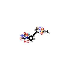 CS(=O)(=O)NCC(C#Cc1ccc(O)c(N2CC(=O)NS2(=O)=O)c1F)CBr